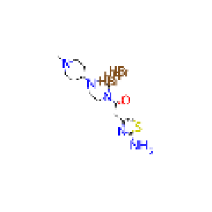 Br.Br.Br.CN1CCC(N2CCN(C(=O)Cc3csc(N)n3)CC2)CC1